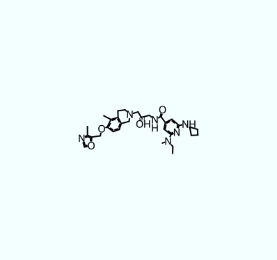 CCN(C)c1cc(C(=O)NC[C@H](O)CN2CCc3c(ccc(OCc4ocnc4C)c3C)C2)cc(NC2CCC2)n1